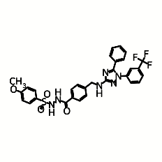 COc1ccc(S(=O)(=O)NNC(=O)c2ccc(CNc3nc(-c4ccccc4)n(-c4cccc(C(F)(F)F)c4)n3)cc2)cc1